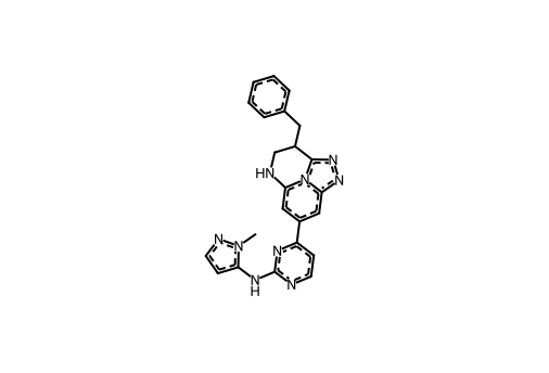 Cn1nccc1Nc1nccc(-c2cc3n4c(nnc4c2)C(Cc2ccccc2)CN3)n1